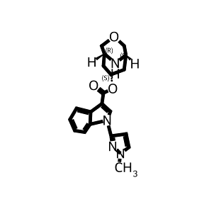 Cn1ccc(-n2cc(C(=O)O[C@H]3C[C@H]4COC[C@@H](C3)N4)c3ccccc32)n1